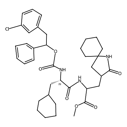 COC(=O)C(CC1CC2(CCCCC2)NC1=O)NC(=O)[C@H](CC1CCCCC1)NC(=O)OC(Cc1cccc(Cl)c1)c1ccccc1